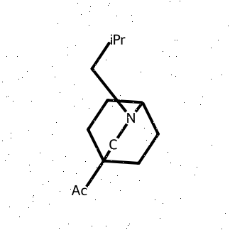 CC(=O)C12CCC(CC1)N(CC(C)C)C2